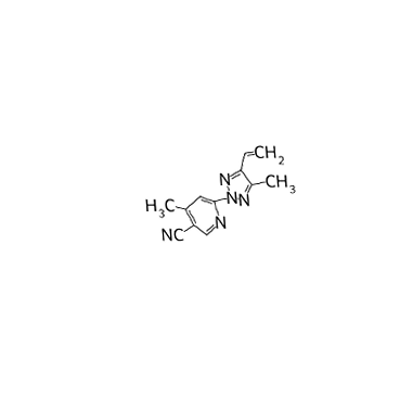 C=Cc1nn(-c2cc(C)c(C#N)cn2)nc1C